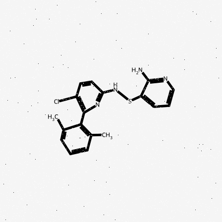 Cc1cccc(C)c1-c1nc(NSc2cccnc2N)ccc1Cl